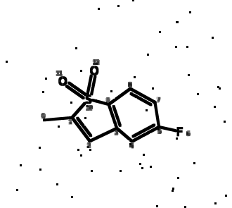 CC1=Cc2cc(F)ccc2S1(=O)=O